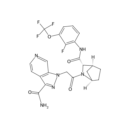 NC(=O)c1nn(CC(=O)N2[C@@H]3CC[C@@H](C3)[C@H]2C(=O)Nc2cccc(OC(F)(F)F)c2F)c2cnccc12